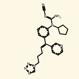 N#CN=C(N)N(c1cccc(C(=CCCCn2cnnn2)c2cccnc2)c1)C1CCCC1